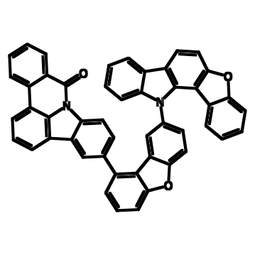 O=c1c2ccccc2c2cccc3c4cc(-c5cccc6oc7ccc(-n8c9ccccc9c9ccc%10oc%11ccccc%11c%10c98)cc7c56)ccc4n1c23